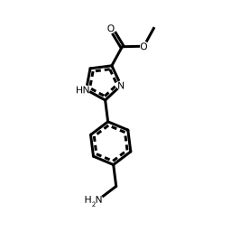 COC(=O)c1c[nH]c(-c2ccc(CN)cc2)n1